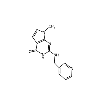 Cn1ccc2c(=O)[nH]c(NCc3cccnc3)nc21